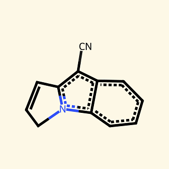 N#Cc1c2n(c3ccccc13)CC=C2